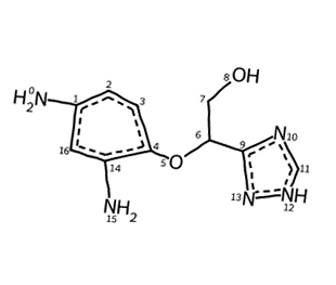 Nc1ccc(OC(CO)c2nc[nH]n2)c(N)c1